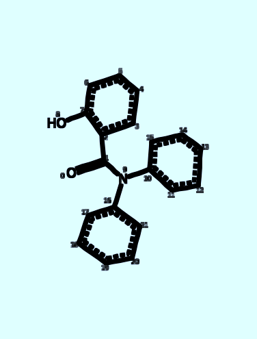 O=C(c1ccccc1O)N(c1ccccc1)c1ccccc1